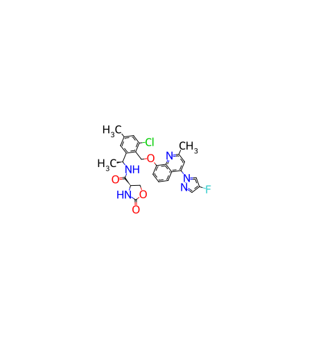 Cc1cc(Cl)c(COc2cccc3c(-n4cc(F)cn4)cc(C)nc23)c([C@H](C)NC(=O)[C@H]2COC(=O)N2)c1